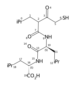 CC(C)CC(C(=O)CS)C(=O)N[C@@H](CC(C)C)C(=O)N[C@@H](CC(C)C)C(=O)O